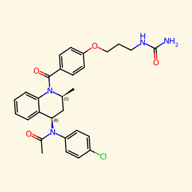 CC(=O)N(c1ccc(Cl)cc1)[C@@H]1C[C@H](C)N(C(=O)c2ccc(OCCCNC(N)=O)cc2)c2ccccc21